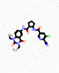 CCn1c(=O)c2cc(NC(=O)C3CCCC3NC(=O)c3cnc(C#N)c(Cl)c3)ccc2n(CC)c1=O